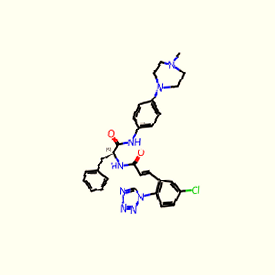 CN1CCN(c2ccc(NC(=O)[C@H](Cc3ccccc3)NC(=O)C=Cc3cc(Cl)ccc3-n3cnnn3)cc2)CC1